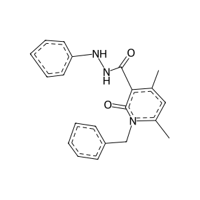 Cc1cc(C)n(Cc2ccccc2)c(=O)c1C(=O)NNc1ccccc1